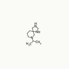 CC(C)N1CCCC2(CNCN2)C1